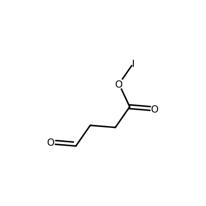 O=CCCC(=O)OI